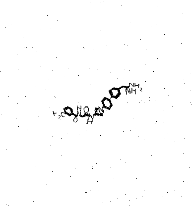 N=C(N)Cc1ccc([C@H]2CC[C@@H](N3CC(NC(=O)CNC(=O)c4cccc(C(F)(F)F)c4)C3)CC2)cc1